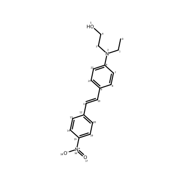 CCN(CCO)c1ccc(/C=C/c2ccc([N+](=O)[O-])cc2)cc1